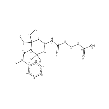 CCC1(CC)CC(NC(=O)CCCC(=O)O)CC(C)(C)N1OC(C)c1ccccc1